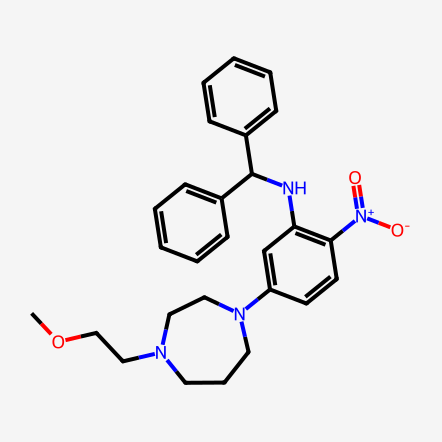 COCCN1CCCN(c2ccc([N+](=O)[O-])c(NC(c3ccccc3)c3ccccc3)c2)CC1